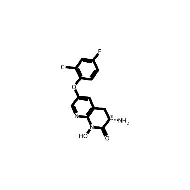 N[C@H]1Cc2cc(Oc3ccc(F)cc3Cl)cnc2N(O)C1=O